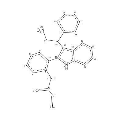 C=CC(=O)Nc1ccccc1-c1[nH]c2ccccc2c1C(C[N+](=O)[O-])c1ccccc1